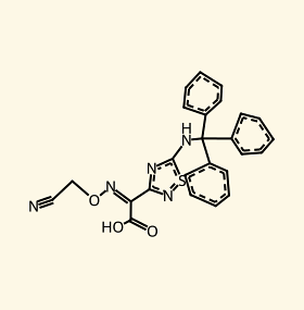 N#CCON=C(C(=O)O)c1nsc(NC(c2ccccc2)(c2ccccc2)c2ccccc2)n1